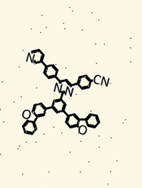 N#Cc1ccc(-c2cc(-c3ccc(-c4cccnc4)cc3)nc(-c3cc(-c4ccc5oc6ccccc6c5c4)cc(-c4ccc5oc6ccccc6c5c4)c3)n2)cc1